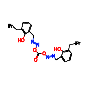 CC(C)Cc1cccc(C/N=N/OC(=O)O/N=N/Cc2cccc(CC(C)C)c2O)c1O